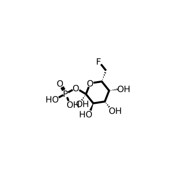 O=P(O)(O)O[C@@]1(O)O[C@H](CF)[C@H](O)[C@H](O)[C@H]1O